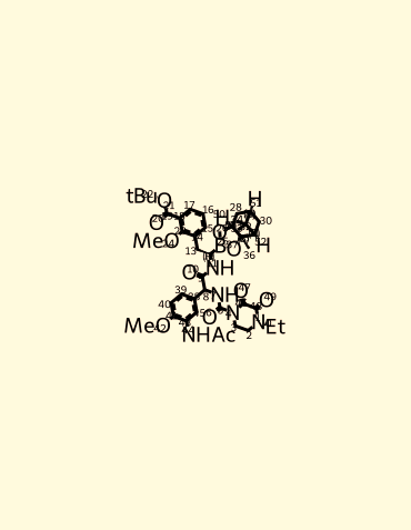 CCN1CCN(C(=O)NC(C(=O)N[C@@H](Cc2cccc(C(=O)OC(C)(C)C)c2OC)B2O[C@@H]3C[C@@H]4C[C@@H](C4(C)C)[C@]3(C)O2)c2ccc(OC)c(NC(C)=O)c2)C(=O)C1=O